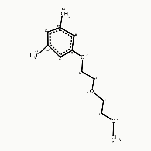 COCCOCCOc1cc(C)[c]c(C)c1